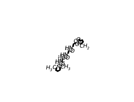 C=C1CCC(=O)N1OC(=O)CCN[13C](=O)CCN[13C](=O)[13CH2][13CH2]N[13C](=O)CN1C(C)CCCC1C